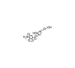 Nc1c(Cl)cc(C(=O)OC[C@@H]2CCN(CCOCCO)C[C@H]2O)c2c1OCCO2